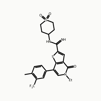 CCn1cc(-c2ccc(C)c(C(F)(F)F)c2)c2sc(C(=N)NC3CCS(=O)(=O)CC3)cc2c1=O